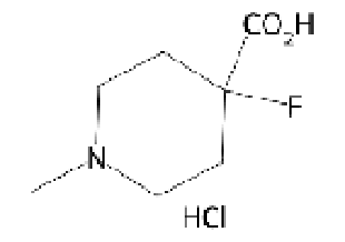 CN1CCC(F)(C(=O)O)CC1.Cl